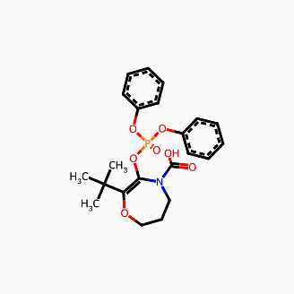 CC(C)(C)C1=C(OP(=O)(Oc2ccccc2)Oc2ccccc2)N(C(=O)O)CCCO1